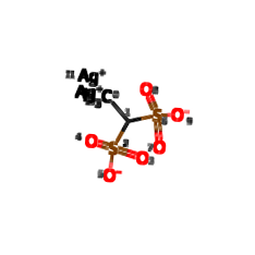 CC(S(=O)(=O)[O-])S(=O)(=O)[O-].[Ag+].[Ag+]